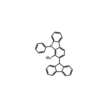 CC(C)(C)c1c(C2c3ccccc3-c3ccccc32)ccc2c3ccccc3n(-c3ccccc3)c12